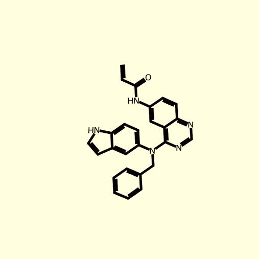 C=CC(=O)Nc1ccc2ncnc(N(Cc3ccccc3)c3ccc4[nH]ccc4c3)c2c1